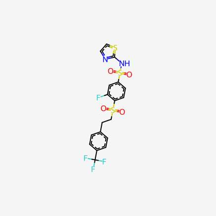 O=S(=O)(CCc1ccc(C(F)(F)F)cc1)c1ccc(S(=O)(=O)Nc2nccs2)cc1F